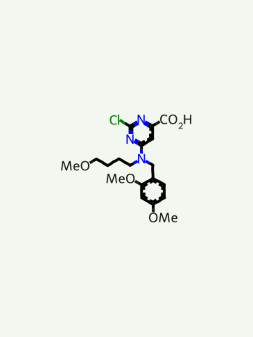 COCCCCN(Cc1ccc(OC)cc1OC)c1cc(C(=O)O)nc(Cl)n1